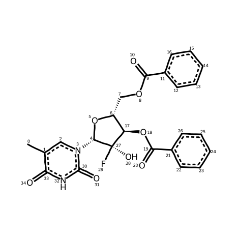 Cc1cn([C@@H]2O[C@H](COC(=O)c3ccccc3)[C@@H](OC(=O)c3ccccc3)[C@@]2(O)F)c(=O)[nH]c1=O